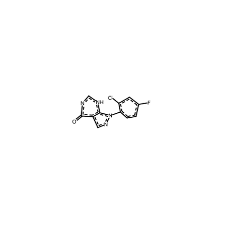 O=c1nc[nH]c2c1cnn2-c1ccc(F)cc1Cl